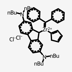 CCCCN(CCCC)c1ccc2c(c1)[CH]([Zr+2]([C]1=CC=CC1)=[C](c1ccccc1)c1ccccc1)c1cc(N(CCCC)CCCC)ccc1-2.[Cl-].[Cl-]